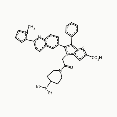 CCN(CC)C1CCN(C(=O)Cn2c(-c3ccc4nc(-c5cccn5C)ccc4c3)c(-c3ccccc3)c3sc(C(=O)O)cc32)CC1